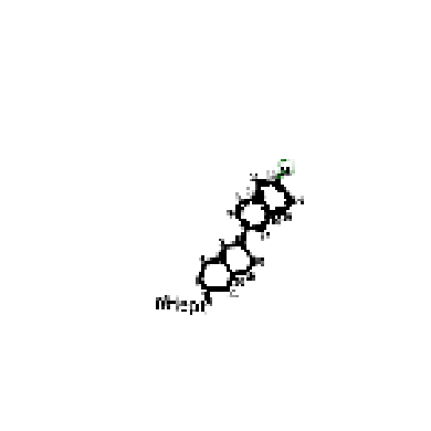 CCCCCCCC1CCC2CC(c3ccc4cc(Cl)ccc4c3)CCC2C1